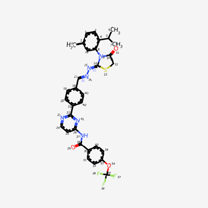 Cc1ccc(C(C)C)c(N2C(=O)CS/C2=N\N=C\c2ccc(-c3nccc(NC(=O)c4ccc(OC(F)(F)F)cc4)n3)cc2)c1